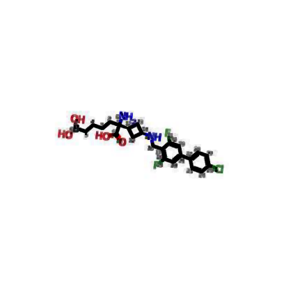 NC(CCCCB(O)O)(C(=O)O)[C@H]1C[C@@H](NCc2c(F)cc(-c3ccc(Cl)cc3)cc2F)C1